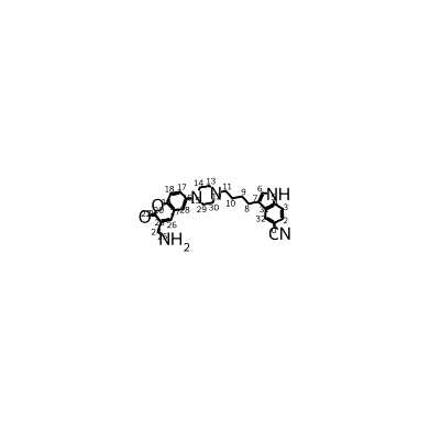 N#Cc1ccc2[nH]cc(CCCCN3CCN(c4ccc5oc(=O)c(CN)cc5c4)CC3)c2c1